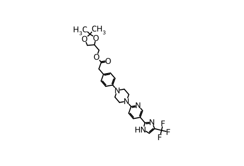 CC1(C)OCC(COC(=O)Cc2ccc(N3CCN(c4ccc(-c5nc(C(F)(F)F)c[nH]5)cn4)CC3)cc2)O1